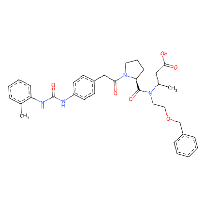 Cc1ccccc1NC(=O)Nc1ccc(CC(=O)N2CCC[C@H]2C(=O)N(CCOCc2ccccc2)C(C)CC(=O)O)cc1